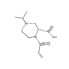 C=CC(=O)N1CCN(C(C)C)CC1C(=O)O